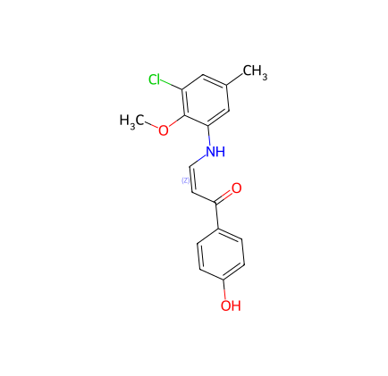 COc1c(Cl)cc(C)cc1N/C=C\C(=O)c1ccc(O)cc1